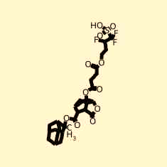 CC1(OC(=O)C2C3CC4C(OC(=O)C42)C3OC(=O)CCC(=O)OCCC(F)C(F)(F)S(=O)(=O)O)C2CC3CC(C2)CC1C3